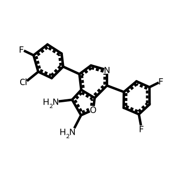 Nc1oc2c(-c3cc(F)cc(F)c3)ncc(-c3ccc(F)c(Cl)c3)c2c1N